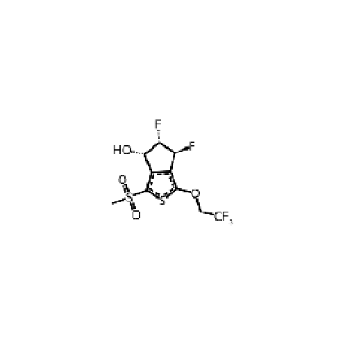 CS(=O)(=O)c1sc(OCC(F)(F)F)c2c1[C@H](O)[C@H](F)[C@H]2F